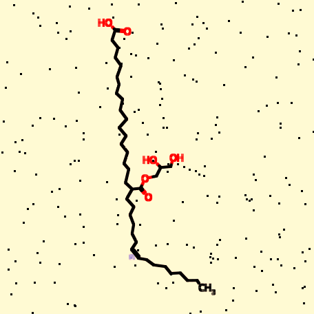 CCCCCCCC/C=C\CCCCCCC(CCCCCCCCCCCCCCCCCC(=O)O)C(=O)OCC(O)CO